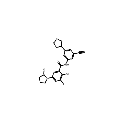 N#Cc1cc(NC(=O)c2cc(N3CCC[S+]3[O-])cc(F)c2Cl)cc(C2CCOC2)c1